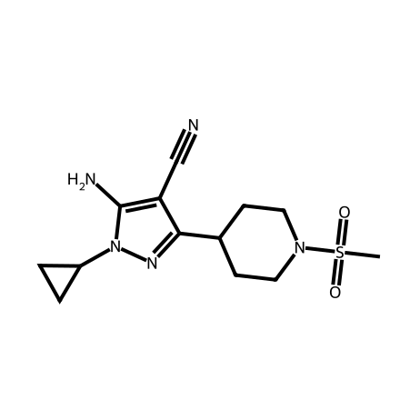 CS(=O)(=O)N1CCC(c2nn(C3CC3)c(N)c2C#N)CC1